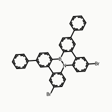 Brc1ccc2c(c1)-c1cc(-c3ccccc3)ccc1B1c3ccc(-c4ccccc4)cc3-c3cc(Br)ccc3N12